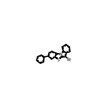 Brc1c2ccccc2n2c1sc1cc(-c3ccccc3)ccc12